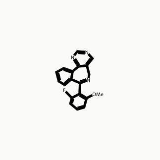 COc1cccc(F)c1C1=NCc2cncnc2-c2ccccc21